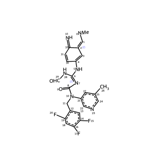 CN/C=C1/C=C(N/C(=N/C(=O)N(Cc2cc(F)c(F)cc2F)c2cncc(C)c2)NC=O)C=CC1=N